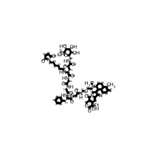 CC[C@@]1(O)C(=O)OCc2c1cc1n(c2=O)Cc2c-1nc1cc(F)c(C)c3c1c2[C@@H](N(C)CCOCNC(=O)CNC(=O)[C@H](Cc1ccccc1)NC(=O)CNC(=O)CNC(=O)[C@H](CCC(=O)NC[C@@H]1O[C@H](CO)[C@@H](O)[C@H](O)[C@H]1O)NC(=O)CCCCCN1C(=O)C=CC1=O)CC3